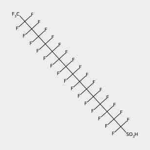 O=S(=O)(O)C(F)(F)C(F)(F)C(F)(F)C(F)(F)C(F)(F)C(F)(F)C(F)(F)C(F)(F)C(F)(F)C(F)(F)C(F)(F)C(F)(F)C(F)(F)C(F)(F)C(F)(F)C(F)(F)F